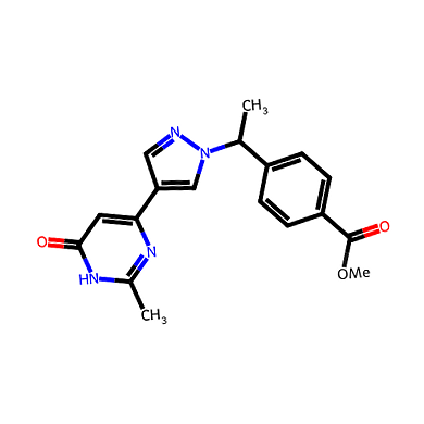 COC(=O)c1ccc(C(C)n2cc(-c3cc(=O)[nH]c(C)n3)cn2)cc1